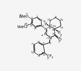 COc1ccc(C2=NN(Cc3ccccc3C(F)(F)F)C(=O)[C@H]3CCCC[C@@H]23)cc1OC